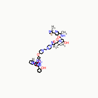 Cc1ncsc1-c1ccc([C@H](C)NC(=O)[C@@H]2C[C@@H](O)CN2C(=O)[C@@H](c2cc(N3CCN(CCN4CCC(OC5CC(Oc6cc(N7C8CC[C@@H]7CN(c7cc(-c9ccccc9O)nnc7N)C8)ccn6)C5)CC4)CC3)no2)C(C)C)cn1